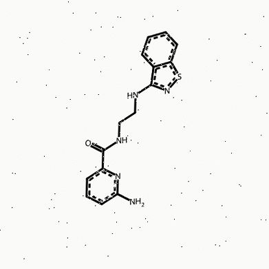 Nc1cccc(C(=O)NCCNc2nsc3ccccc23)n1